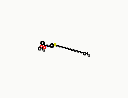 CCCCCCCCCCCCCCCCCCCSc1ccc(/C=C/C(=O)c2ccccc2OCC)cc1